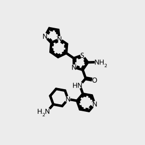 Nc1sc(-c2ccc3nccn3c2)nc1C(=O)Nc1cnccc1N1CCCC(N)C1